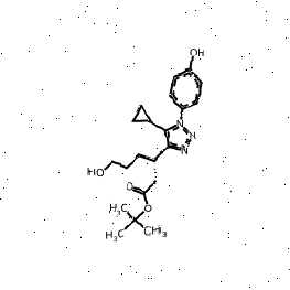 CC(C)(C)OC(=O)C[C@H](CCCO)c1nnn(-c2ccc(O)cc2)c1C1CC1